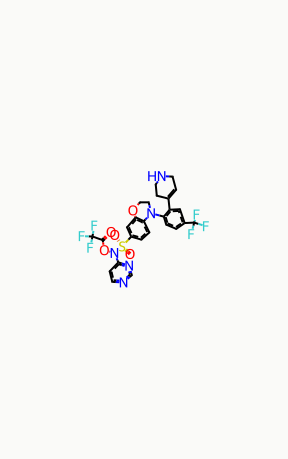 O=C(ON(c1ccncn1)S(=O)(=O)c1ccc2c(c1)OCCN2c1ccc(C(F)(F)F)cc1C1=CCNCC1)C(F)(F)F